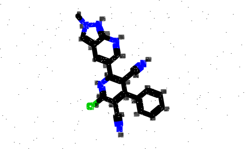 Cn1cc2cc(-c3nc(Cl)c(C#N)c(-c4ccccc4)c3C#N)cnc2n1